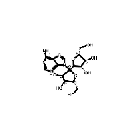 Nc1ncnc2c1ncn2[C@]1(C2O[C@H](CO)[C@@H](O)[C@@H]2O)O[C@H](CO)[C@@H](O)[C@H]1O